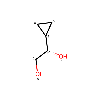 OC[C@@H](O)C1CC1